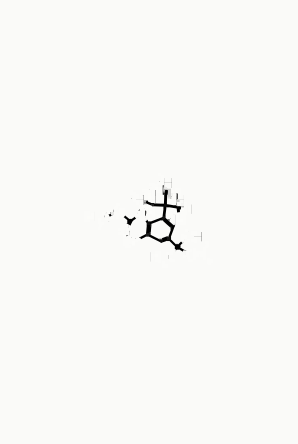 [2H]C([2H])([2H])C(c1cc(C(C)(C)C)cc(Br)c1OC(=O)OC)(C([2H])([2H])[2H])C([2H])([2H])[2H]